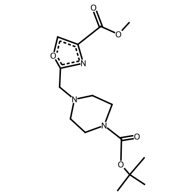 COC(=O)c1coc(CN2CCN(C(=O)OC(C)(C)C)CC2)n1